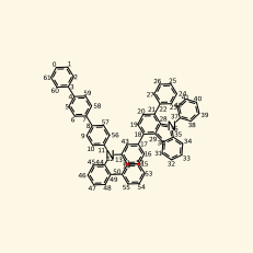 c1ccc(-c2ccc(-c3ccc(N(c4cccc(-c5ccc(-c6ccccc6)c6c5c5ccccc5n6-c5ccccc5)c4)c4ccccc4-c4ccccc4)cc3)cc2)cc1